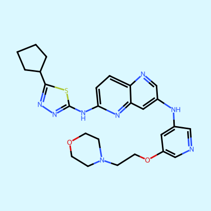 c1ncc(OCCN2CCOCC2)cc1Nc1cnc2ccc(Nc3nnc(C4CCCC4)s3)nc2c1